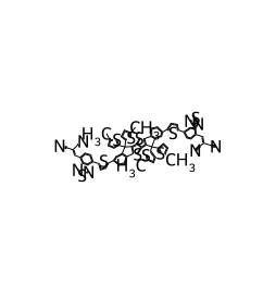 Cc1ccc(C2(c3ccc(C)s3)c3cc(-c4ccc(-c5ccc(C=C(C#N)C#N)c6nsnc56)s4)ccc3-c3sc4c5c(sc4c32)-c2ccc(-c3ccc(-c4ccc(C=C(C#N)C#N)c6nsnc46)s3)cc2C5(c2ccc(C)s2)c2ccc(C)s2)s1